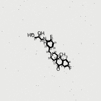 CN1c2ccc(F)cc2C(=O)CC12CCN(Cc1ccc(F)c(NC[C@H](O)CO)c1)CC2